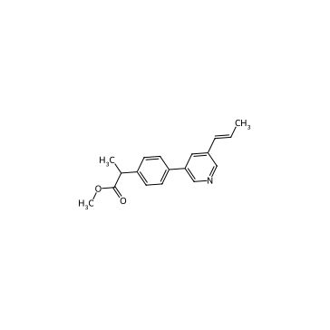 CC=Cc1cncc(-c2ccc(C(C)C(=O)OC)cc2)c1